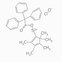 CC1=C(C)C(C)(C)[C]([Ti+2][O]C(=O)C(c2ccccc2)(c2ccccc2)c2ccccc2)=C1C.[Cl-].[Cl-]